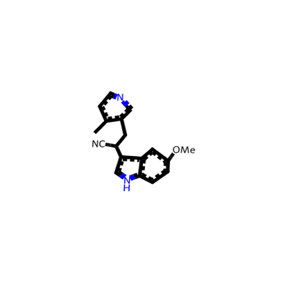 COc1ccc2[nH]cc(C(C#N)Cc3cnccc3C)c2c1